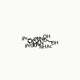 CC(=O)Nc1nc(OS(=O)(=O)c2c(C(C)C)cc(C(C)C)cc2C(C)C)c2ncn(C(O)OCCCO)c2n1